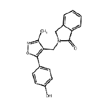 Cc1noc(-c2ccc(O)cc2)c1CN1Cc2ccccc2C1=O